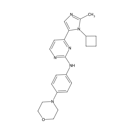 Cc1ncc(-c2ccnc(Nc3ccc(N4CCOCC4)cc3)n2)n1C1CCC1